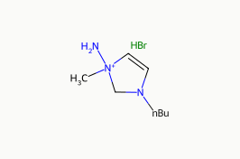 Br.CCCCN1C=C[N+](C)(N)C1